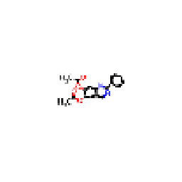 CC(=O)Oc1cc2cnc(-c3ccccc3)nc2cc1OC(C)=O